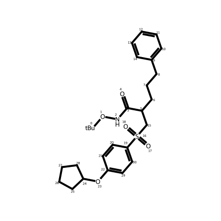 CC(C)(C)ONC(=O)C(CCCc1ccccc1)CS(=O)(=O)c1ccc(OC2CCCC2)cc1